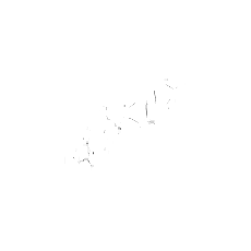 CSc1ccc(-c2ccc(N3C[C@@H](CN(C(N)=O)N(C)C)OC3=O)cc2F)cc1